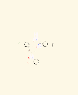 Cc1ccc(C2(N3CCCC(CC[C@@]4(c5ccc(Cl)c(Cl)c5)CN(c5ccccc5)C(=O)CO4)C3=O)CCNC(=O)C2)cc1